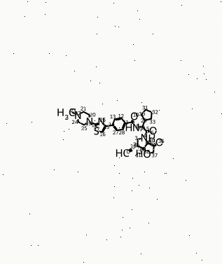 C#C[C@@H]1CN(C(=O)[C@@H](NC(=O)c2ccc(-c3csc(N4CCN(C)CC4)n3)cc2)C2CCCC2)[C@@H]2C(=O)CO[C@H]12